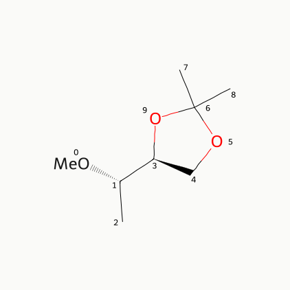 CO[C@@H](C)[C@@H]1COC(C)(C)O1